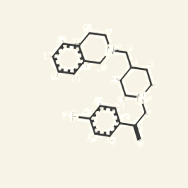 C=C(CN1CCC(CN2CCc3ccccc3C2)CC1)c1ccc(F)cc1